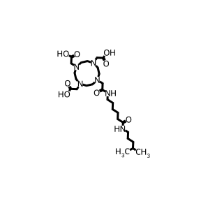 CC(C)CCCNC(=O)CCCCCNC(=O)CN1CCN(CC(=O)O)CCN(CC(=O)O)CCN(CC(=O)O)CC1